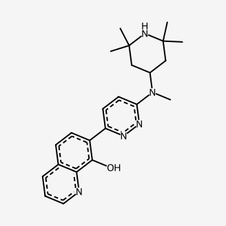 CN(c1ccc(-c2ccc3cccnc3c2O)nn1)C1CC(C)(C)NC(C)(C)C1